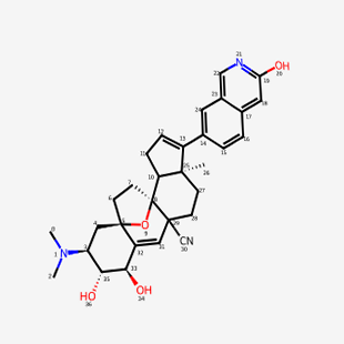 CN(C)[C@H]1C[C@@]23CC[C@]4(O2)C2CC=C(c5ccc6cc(O)ncc6c5)[C@@]2(C)CCC4(C#N)C=C3[C@@H](O)[C@@H]1O